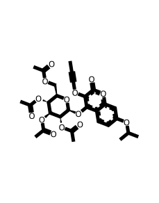 CC#COc1c(O[C@@H]2O[C@H](COC(C)=O)[C@@H](OC(C)=O)[C@H](OC(C)=O)[C@H]2OC(C)=O)c2ccc(OC(C)C)cc2oc1=O